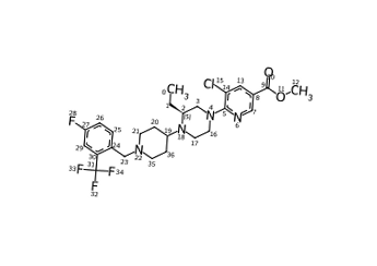 CC[C@H]1CN(c2ncc(C(=O)OC)cc2Cl)CCN1C1CCN(Cc2ccc(F)cc2C(F)(F)F)CC1